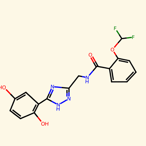 O=C(NCc1n[nH]c(-c2cc(O)ccc2O)n1)c1ccccc1OC(F)F